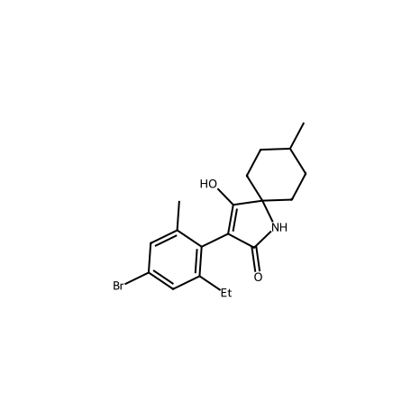 CCc1cc(Br)cc(C)c1C1=C(O)C2(CCC(C)CC2)NC1=O